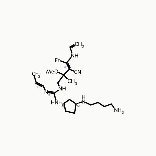 C=CN/C(CC)=C(\C#N)C(C)(CN/C(=N\C=C\C(F)(F)F)N[C@H]1CC[C@H](NCCCCN)C1)OC